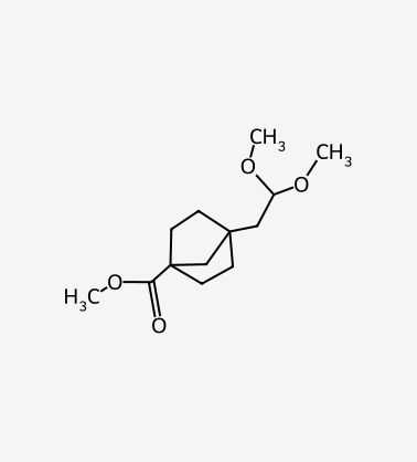 COC(=O)C12CCC(CC(OC)OC)(CC1)C2